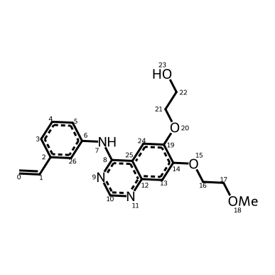 C=Cc1cccc(Nc2ncnc3cc(OCCOC)c(OCCO)cc23)c1